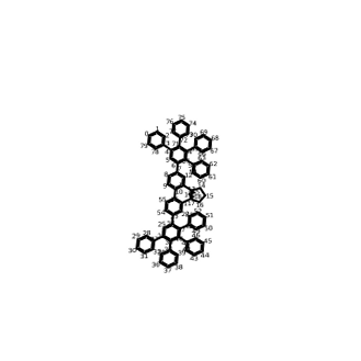 c1ccc(-c2cc(-c3ccc4c(c3)C35CCCC3(CCC5)c3cc(-c5cc(-c6ccccc6)c(-c6ccccc6)c(-c6ccccc6)c5-c5ccccc5)ccc3-4)c(-c3ccccc3)c(-c3ccccc3)c2-c2ccccc2)cc1